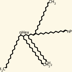 C=CCCCCCCCCCCCCCC(CCCCCC)C(CCCCCCCCCCCCC=C)CC(CC=C(CCCCCCCCCCC=CCCC)CCCCCCCCCCCCC=C)CCCCCCCCCCCC=C